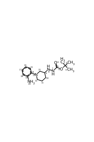 CC(C)(C)OC(=O)NNC1CCCN(c2ccccc2N)C1